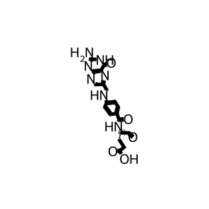 Nc1nc2ncc(CNc3ccc(C(=O)N[C@H](C=O)CCC(=O)O)cc3)nc2c(=O)[nH]1